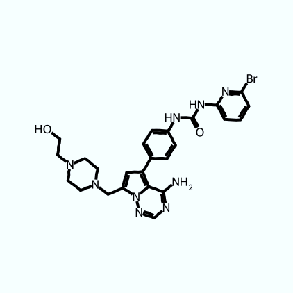 Nc1ncnn2c(CN3CCN(CCO)CC3)cc(-c3ccc(NC(=O)Nc4cccc(Br)n4)cc3)c12